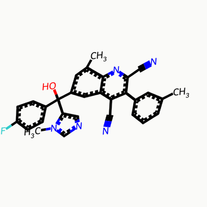 Cc1cccc(-c2c(C#N)nc3c(C)cc(C(O)(c4ccc(F)cc4)c4cncn4C)cc3c2C#N)c1